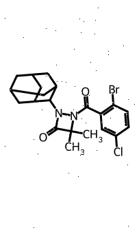 CC1(C)C(=O)N(C2C3CC4CC(C3)CC2C4)N1C(=O)c1cc(Cl)ccc1Br